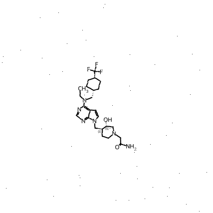 CCN(C[C@H]1CC[C@H](C(F)(F)F)CC1)c1ncnc2c1ccn2C[C@@H]1CCN(CC(N)=O)C[C@H]1O